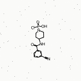 N#Cc1cccc(C(=O)NC2CCN(P(=O)(O)Cl)CC2)c1